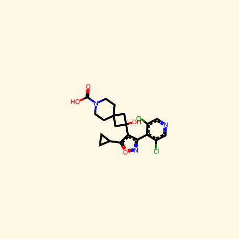 O=C(O)N1CCC2(CC1)CC(O)(c1c(-c3c(Cl)cncc3Cl)noc1C1CC1)C2